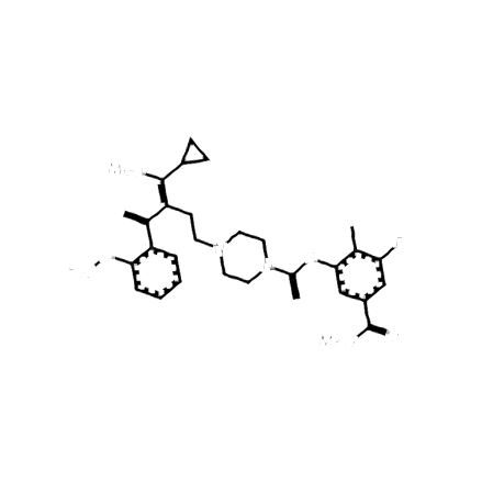 C=C(/C(CCN1CCN(C(=C)Sc2cc(C(=O)OC)cc(F)c2C)CC1)=C(\OC)C1CC1)c1ccccc1OC(F)(F)F